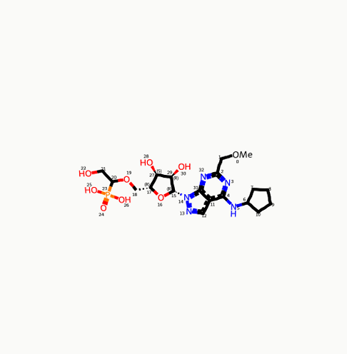 COCc1nc(NC2CCCC2)c2cnn([C@@H]3O[C@H](COC(CO)P(=O)(O)O)[C@@H](O)[C@H]3O)c2n1